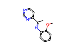 COc1ccccc1N=C(C)c1ccncn1